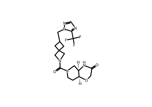 O=C1CO[C@H]2CCN(C(=O)N3CC4(CC(Cn5ncnc5C(F)(F)F)C4)C3)C[C@H]2N1